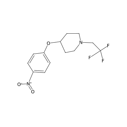 O=[N+]([O-])c1ccc(OC2CCN(CC(F)(F)F)CC2)cc1